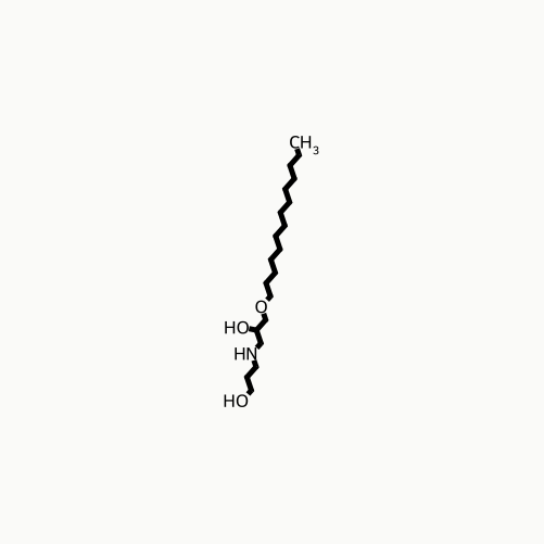 CCCCCCCCCCCCCCOCC(O)CNCCCO